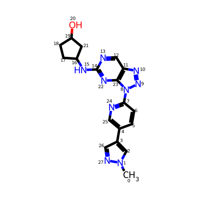 Cn1cc(-c2ccc(-n3nnc4cnc(NC5CCC(O)C5)nc43)nc2)cn1